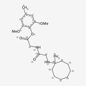 COc1cc(C)cc(OC)c1OC(=O)CNC(=O)CNC1(P)CCCCCCC1